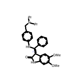 COc1cc2c(cc1OC)/C(=C(/Nc1ccc(CN(C(C)C)C(C)C)cc1)c1ccccc1)C(=O)N2